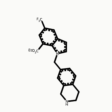 CCOC(=O)c1cc(C(F)(F)F)cc2ccn(Cc3ccc4c(c3)CNCC4)c12